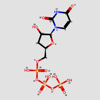 O=c1ccn([C@H]2O[C@@H](COP(=O)(O)OP(=O)(O)OP(=O)(O)O)CC2O)c(=O)[nH]1